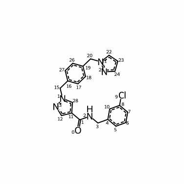 O=C(NCc1cccc(Cl)c1)c1cnn(Cc2ccc(Cn3cccn3)cc2)c1